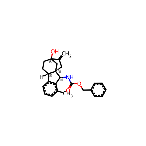 C=C1C[C@]23C[C@]1(O)CC[C@H]2c1cccc(C)c1[C@@H]3NC(=O)OCc1ccccc1